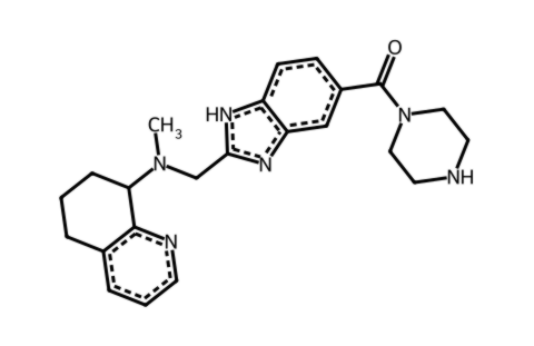 CN(Cc1nc2cc(C(=O)N3CCNCC3)ccc2[nH]1)C1CCCc2cccnc21